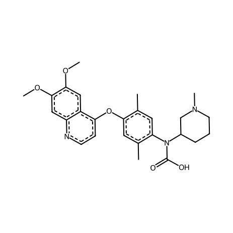 COc1cc2nccc(Oc3cc(C)c(N(C(=O)O)C4CCCN(C)C4)cc3C)c2cc1OC